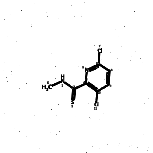 CNC(=S)c1nc(Cl)ccc1Cl